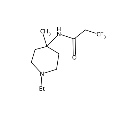 CCN1CCC(C)(NC(=O)CC(F)(F)F)CC1